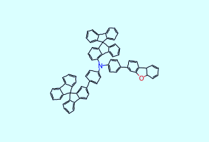 C1=CC2Oc3cc(-c4ccc(N(c5ccc(-c6ccc7c(c6)C6(c8ccccc8-c8ccccc86)c6ccccc6-7)cc5)c5cccc6c5-c5ccccc5C65c6ccccc6-c6ccccc65)cc4)ccc3C2C=C1